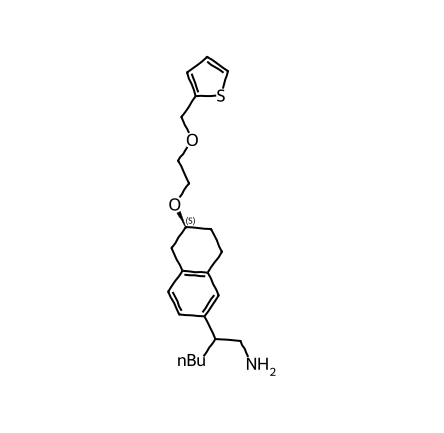 CCCCC(CN)c1ccc2c(c1)CC[C@H](OCCOCc1cccs1)C2